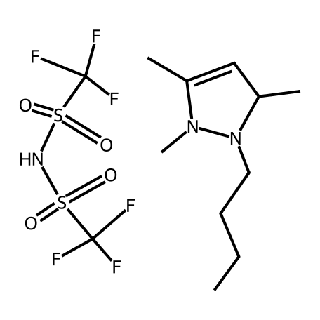 CCCCN1C(C)C=C(C)N1C.O=S(=O)(NS(=O)(=O)C(F)(F)F)C(F)(F)F